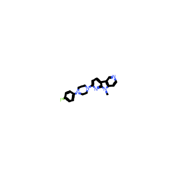 Cn1c2ccncc2c2ccc(N3CCN(c4ccc(F)cc4)CC3)nc21